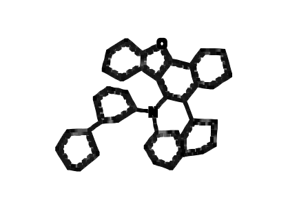 c1ccc(-c2cccc(N(c3ccccc3)c3c(-c4ccccc4)c4ccccc4c4oc5ccccc5c34)c2)cc1